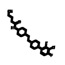 N#CCCCC(=O)NC1CCC(CCN2CCN(c3ccc(F)c(Cl)c3F)CC2)CC1